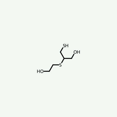 OCCSC(CO)CS